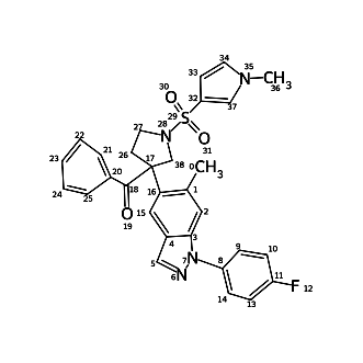 Cc1cc2c(cnn2-c2ccc(F)cc2)cc1C1(C(=O)c2ccccc2)CCN(S(=O)(=O)c2ccn(C)c2)C1